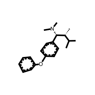 CC(C)[C@@H](C)[C@H](c1ccc(Oc2ccccc2)cc1)N(C)C